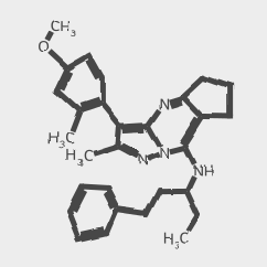 CCC(CCc1ccccc1)Nc1c2c(nc3c(-c4ccc(OC)cc4C)c(C)nn13)CCC2